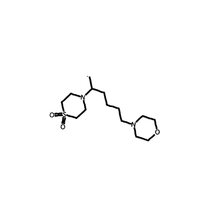 [CH2]C(CCCCN1CCOCC1)N1CCS(=O)(=O)CC1